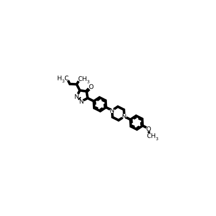 CCC(C)C1N=NC(c2ccc(N3CCN(c4ccc(OC)cc4)CC3)cc2)C1=O